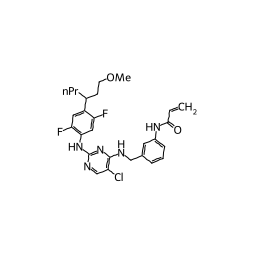 C=CC(=O)Nc1cccc(CNc2nc(Nc3cc(F)c(C(CCC)CCOC)cc3F)ncc2Cl)c1